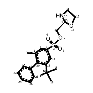 Cc1cc(S(=O)(=O)OC[C@H]2NCCO2)cc(C(C)(C)C)c1-c1ccccc1